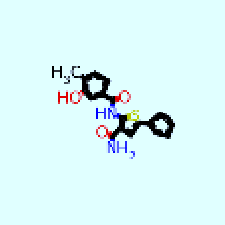 Cc1ccc(C(=O)Nc2sc(-c3ccccc3)cc2C(N)=O)cc1O